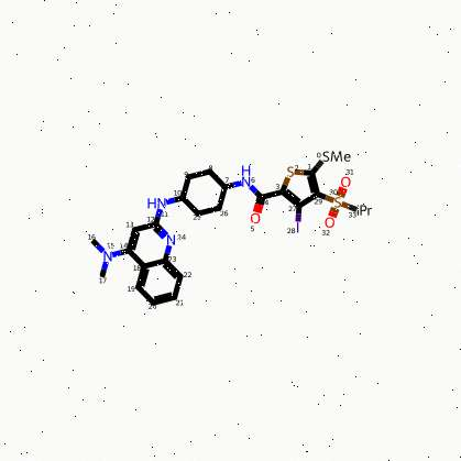 CSc1sc(C(=O)NC2CCC(Nc3cc(N(C)C)c4ccccc4n3)CC2)c(I)c1S(=O)(=O)C(C)C